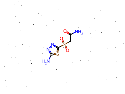 NC(=O)CS(=O)(=O)c1nnc(N)s1